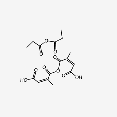 C/C(=C/C(=O)O)C(=O)OC(=O)/C(C)=C\C(=O)O.CCC(=O)OC(=O)CC